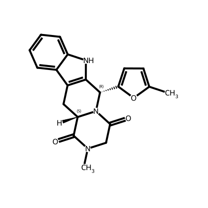 Cc1ccc([C@H]2c3[nH]c4ccccc4c3C[C@H]3C(=O)N(C)CC(=O)N23)o1